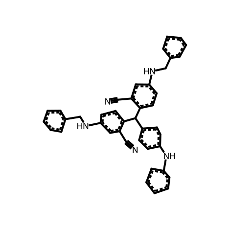 N#Cc1cc(NCc2ccccc2)ccc1C(c1ccc(Nc2ccccc2)cc1)c1ccc(NCc2ccccc2)cc1C#N